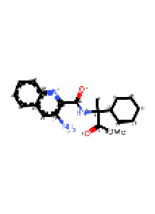 COC(=O)C(C)(NC(=O)c1nc2ccccc2cc1N)C1CCCCC1